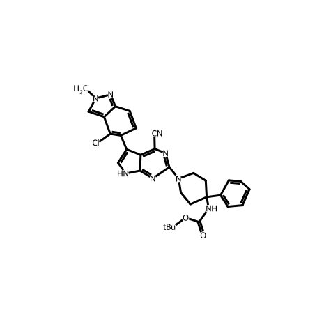 Cn1cc2c(Cl)c(-c3c[nH]c4nc(N5CCC(NC(=O)OC(C)(C)C)(c6ccccc6)CC5)nc(C#N)c34)ccc2n1